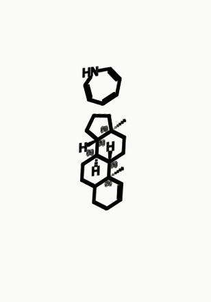 C1=CC=CNC=C1.C[C@@]12CCC[C@H]1[C@@H]1CCC3CCC=C[C@]3(C)[C@H]1CC2